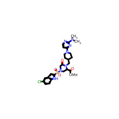 COC(=O)C1CN(S(=O)(=O)c2cc3cc(Cl)ccc3[nH]2)CC(=O)N1CC1CCN(c2ccnc(N(C)C)n2)CC1